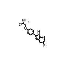 NC(=O)COc1ccc(-c2nc3cc(Br)cnc3[nH]2)cc1